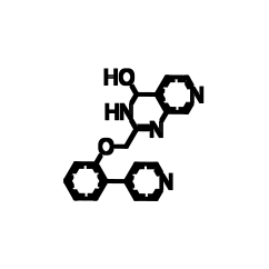 OC1NC(COc2ccccc2-c2ccncc2)=Nc2cnccc21